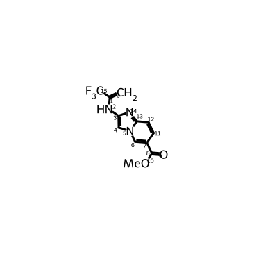 C=C(Nc1cn2cc(C(=O)OC)ccc2n1)C(F)(F)F